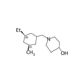 CC[C@H]1CC(CN2CCC(O)CC2)C[C@@H](C)C1